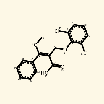 CO/C(=C(\COc1c(Cl)cccc1Cl)C(=O)O)c1ccccc1